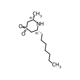 CCCCCCC[C@@H]1CS(=O)(=O)C[C@@H](C)N1